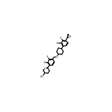 CCC1CCC(c2ccc(COC3CCC(c4ccc(C5CO5)c(F)c4F)CC3)c(F)c2F)CC1